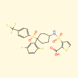 O=C(O)c1sccc1S(=O)(=O)NC1CCC(c2cc(F)ccc2F)(S(=O)(=O)c2ccc(C(F)(F)F)cc2)CC1